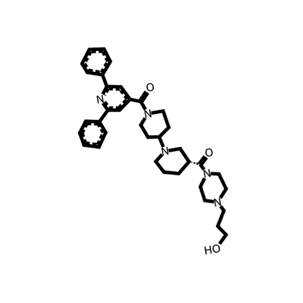 O=C(c1cc(-c2ccccc2)nc(-c2ccccc2)c1)N1CCC(N2CCC[C@@H](C(=O)N3CCN(CCCO)CC3)C2)CC1